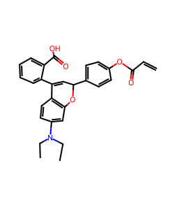 C=CC(=O)Oc1ccc(C2C=C(c3ccccc3C(=O)O)c3ccc(N(CC)CC)cc3O2)cc1